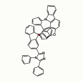 c1ccc(-c2nnc(-c3ccc4c5ccccc5n(-c5ccccc5-c5ccccc5-n5c6ccccc6c6ccc7oc8ccccc8c7c65)c4c3)n2-c2ccccc2)cc1